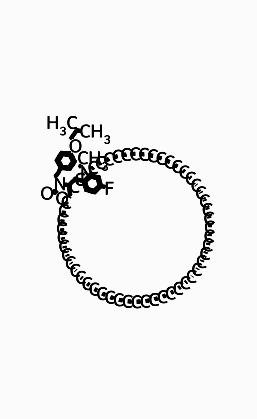 CCN1CCCCCCCCCCCCCCCCCCCCCCCCCCCCCCCCCCCCCCCCCCCCCCCCC2(CC1)OC(=O)N(Cc1ccc(OCC(C)C)cc1)C2Cc1ccc(F)cc1